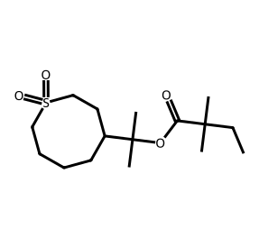 CCC(C)(C)C(=O)OC(C)(C)C1CCCCS(=O)(=O)CC1